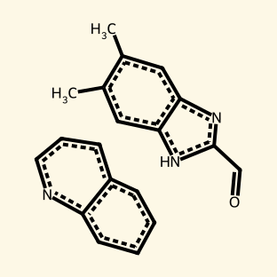 Cc1cc2nc(C=O)[nH]c2cc1C.c1ccc2ncccc2c1